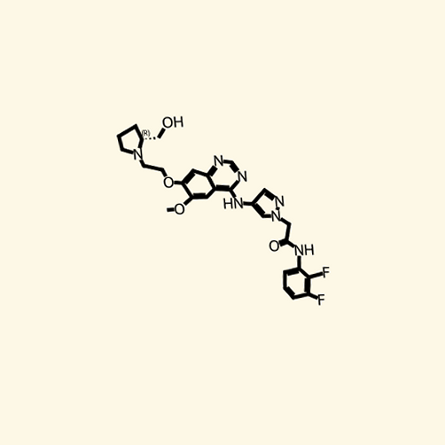 COc1cc2c(Nc3cnn(CC(=O)Nc4cccc(F)c4F)c3)ncnc2cc1OCCN1CCC[C@@H]1CO